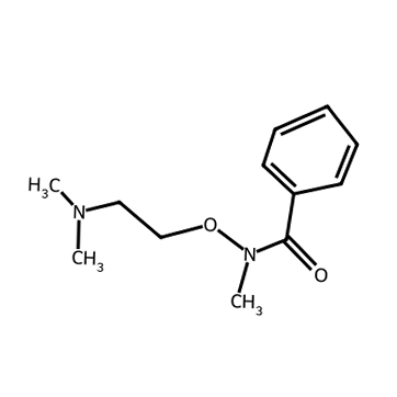 CN(C)CCON(C)C(=O)c1ccccc1